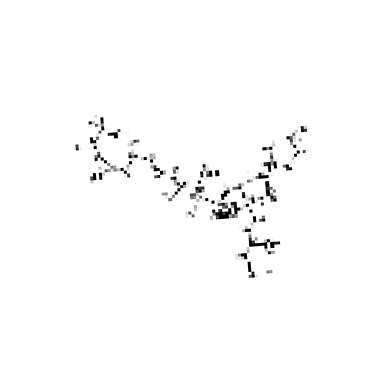 CC[C@H](O)[C@@H](C)[C@H]1O[C@@H]1C[C@H](C)/C=C/C=C(\C)[C@@H](O)[C@@H](C)/C=C/[C@H](OC(=O)N1CCN(C)CC1)C(C)(CC[C@@H](O)CC=O)OC